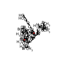 CC(CNC(=O)C(C)(C)Br)(CNC(=O)C(C)(C)Br)COCc1cn(CC(COCCOCCOCCOCCOCC(O)CO)(Cn2cc(COCC(CNC(=O)C(C)(C)Br)(CNC(=O)C(C)(C)Br)CNC(=O)C(C)(C)Br)nn2)Cn2cc(COCC(CNC(=O)C(C)(C)Br)(CNC(=O)C(C)(C)Br)CNC(=O)C(C)(C)Br)nn2)nn1